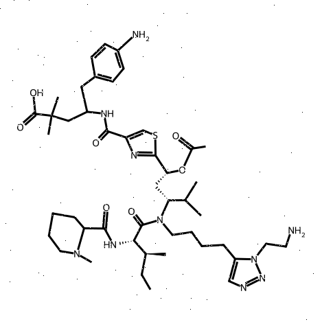 CC[C@H](C)[C@H](NC(=O)C1CCCCN1C)C(=O)N(CCCCc1cnnn1CCN)[C@H](C[C@@H](OC(C)=O)c1nc(C(=O)NC(Cc2ccc(N)cc2)CC(C)(C)C(=O)O)cs1)C(C)C